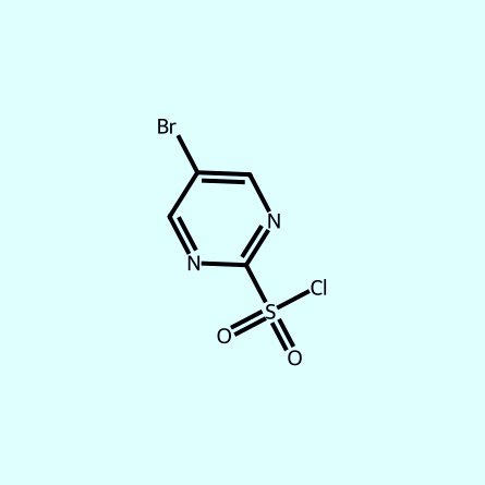 O=S(=O)(Cl)c1ncc(Br)cn1